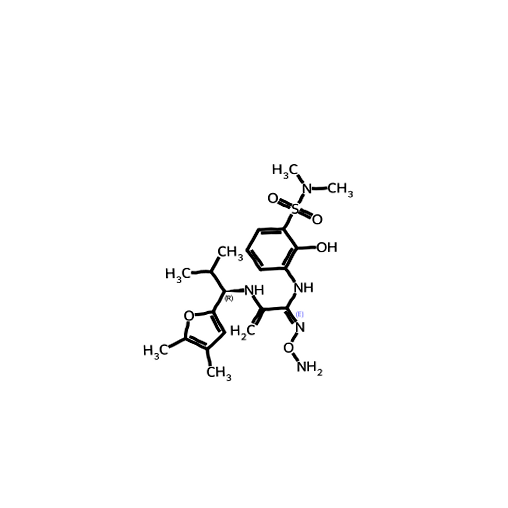 C=C(N[C@@H](c1cc(C)c(C)o1)C(C)C)/C(=N\ON)Nc1cccc(S(=O)(=O)N(C)C)c1O